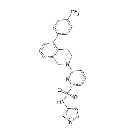 O=S(=O)(Nc1ncns1)c1cccc(N2CCc3c(cccc3-c3ccc(C(F)(F)F)cc3)C2)n1